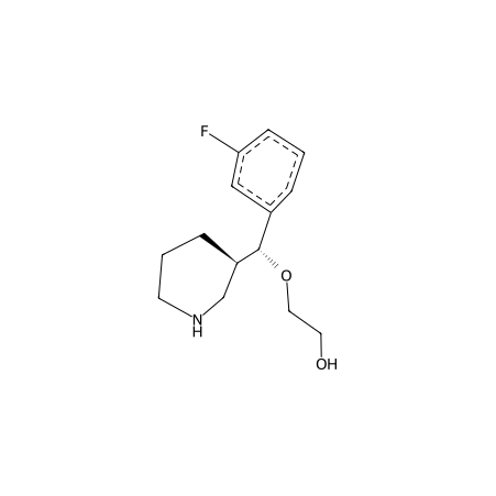 OCCO[C@@H](c1cccc(F)c1)[C@@H]1CCCNC1